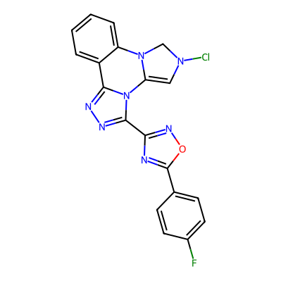 Fc1ccc(-c2nc(-c3nnc4n3C3=CN(Cl)CN3c3ccccc3-4)no2)cc1